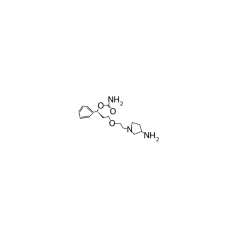 NC(=O)O[C@@H](CCOCCN1CCC(N)C1)c1ccccc1